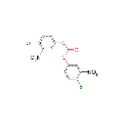 O=C(Oc1ccc(Br)c([N+](=O)[O-])c1)Oc1ccc(Br)c([N+](=O)[O-])c1